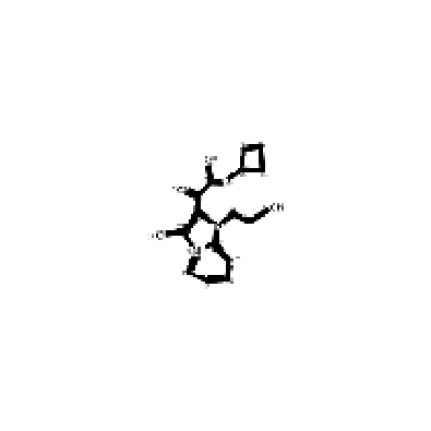 N#CCCn1c(C(=O)C(=O)OC2CCC2)c([O-])[n+]2ccccc12